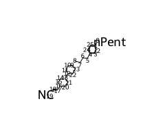 CCCCCc1ccc(CCCC[C@H]2CC[C@H]([C@H]3CC[C@H](C=CC#N)CC3)CC2)cc1